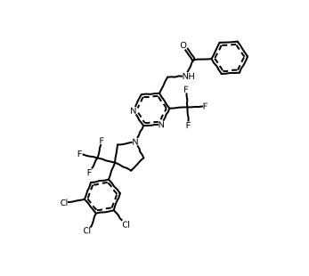 O=C(NCc1cnc(N2CCC(c3cc(Cl)c(Cl)c(Cl)c3)(C(F)(F)F)C2)nc1C(F)(F)F)c1ccccc1